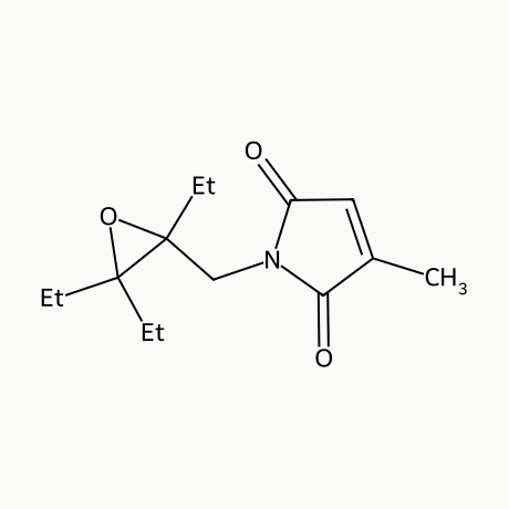 CCC1(CC)OC1(CC)CN1C(=O)C=C(C)C1=O